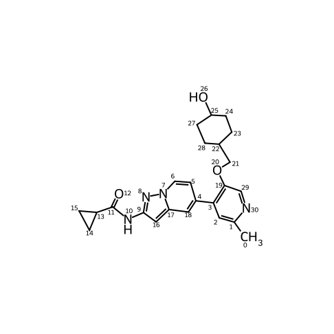 Cc1cc(-c2ccn3nc(NC(=O)C4CC4)cc3c2)c(OCC2CCC(O)CC2)cn1